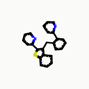 c1ccc(-c2ccccc2Cc2c(-c3ccccn3)sc3ccccc23)nc1